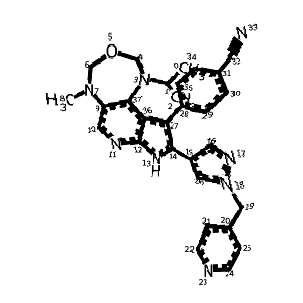 CC(C)N1COCN(C)c2cnc3[nH]c(-c4cnn(Cc5ccncc5)c4)c(-c4ccc(C#N)cc4)c3c21